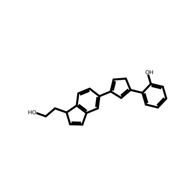 OCCC1C=Cc2cc(C3=CCC(c4ccccc4O)=C3)ccc21